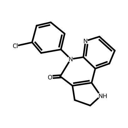 O=c1c2c(c3cccnc3n1-c1cccc(Cl)c1)NCC2